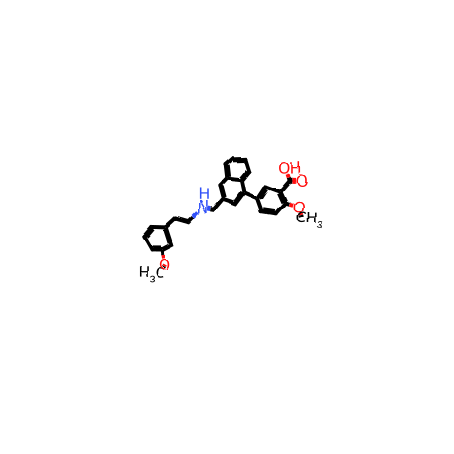 COc1cccc(CCNCc2cc(-c3ccc(OC)c(C(=O)O)c3)c3ccccc3c2)c1